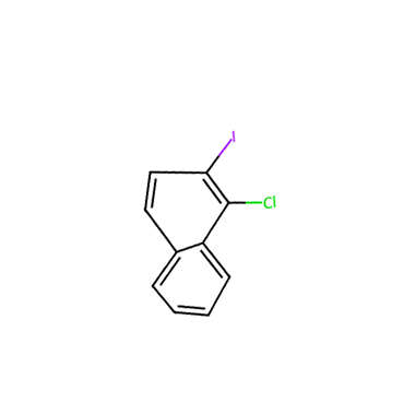 Clc1c(I)ccc2ccccc12